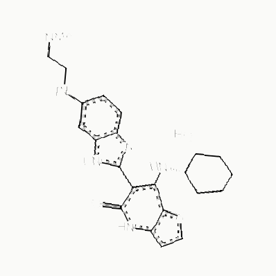 CNCCNc1ccc2nc(-c3c(N[C@H]4CCCC[C@H]4O)c4sccc4[nH]c3=O)[nH]c2c1